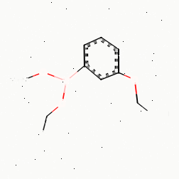 CNOB(OCC(=O)O)c1cccc(OCC(=O)O)c1